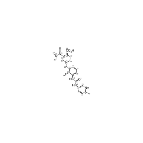 Cc1ccc(NC(=O)Nc2cccc(CN3CCN(C(=O)O)[C@H](C(=O)N(C)C)C3)c2F)cn1